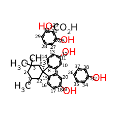 CC1CC(C)(C)CC(c2ccc(O)cc2)(c2ccc(O)cc2)C1.O=C(O)O.Oc1ccccc1.Oc1ccccc1